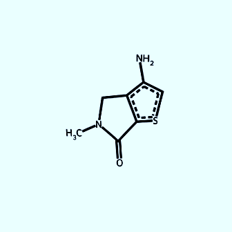 CN1Cc2c(N)csc2C1=O